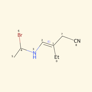 CC/C(=C\NC(C)Br)CC#N